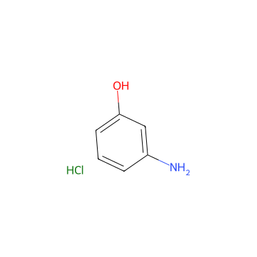 Cl.Nc1cccc(O)c1